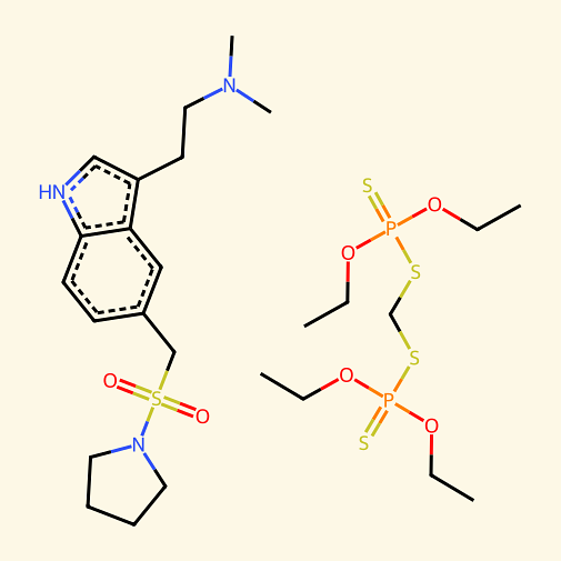 CCOP(=S)(OCC)SCSP(=S)(OCC)OCC.CN(C)CCc1c[nH]c2ccc(CS(=O)(=O)N3CCCC3)cc12